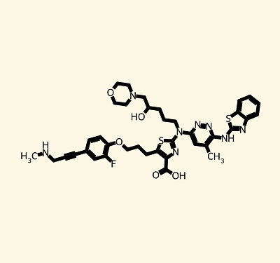 CNCC#Cc1ccc(OCCCc2sc(N(CCCC(O)CN3CCOCC3)c3cc(C)c(Nc4nc5ccccc5s4)nn3)nc2C(=O)O)c(F)c1